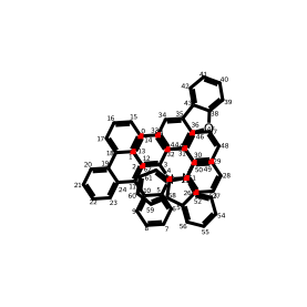 c1ccc(N(c2ccccc2-c2cc3ccccc3c3ccccc23)c2ccccc2-c2cccc3c2oc2ccccc23)c(-c2ccccc2-n2c3ccccc3c3ccccc32)c1